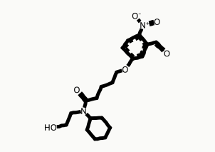 O=Cc1cc(OCCCCC(=O)N(CCO)C2CCCCC2)ccc1[N+](=O)[O-]